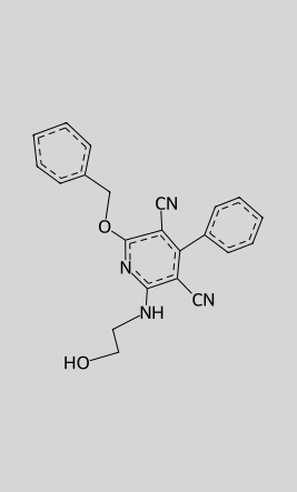 N#Cc1c(NCCO)nc(OCc2ccccc2)c(C#N)c1-c1ccccc1